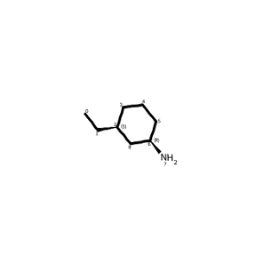 CC[C@H]1CCC[C@@H](N)C1